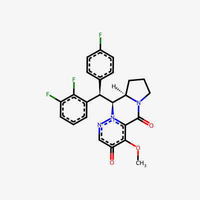 COc1c2n(ncc1=O)[C@@H]([C@H](c1ccc(F)cc1)c1cccc(F)c1F)[C@H]1CCCN1C2=O